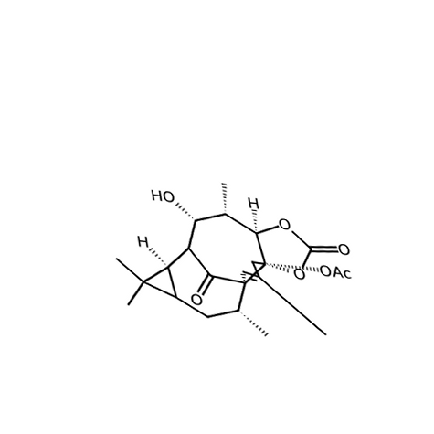 CC(=O)O[C@H]1C(C)=C[C@@]23C(=O)C([C@H]4C(C[C@H]2C)C4(C)C)[C@H](O)[C@H](C)[C@H]2OC(=O)O[C@@]213